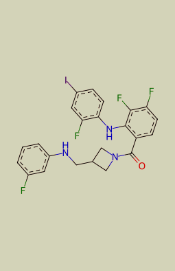 O=C(c1ccc(F)c(F)c1Nc1ccc(I)cc1F)N1CC(CNc2cccc(F)c2)C1